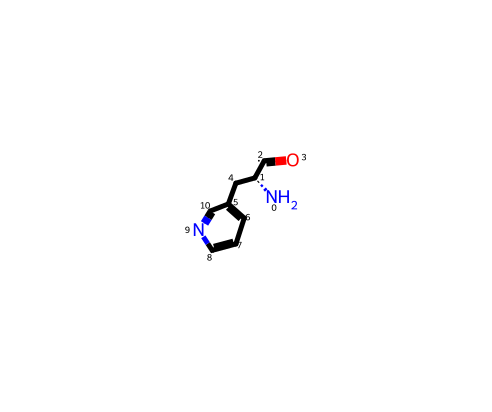 N[C@@H]([C]=O)Cc1cccnc1